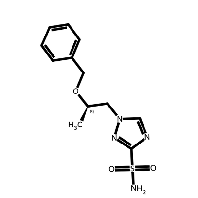 C[C@H](Cn1cnc(S(N)(=O)=O)n1)OCc1ccccc1